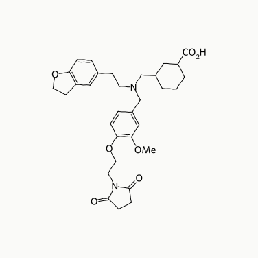 COc1cc(CN(CCc2ccc3c(c2)CCO3)CC2CCCC(C(=O)O)C2)ccc1OCCN1C(=O)CCC1=O